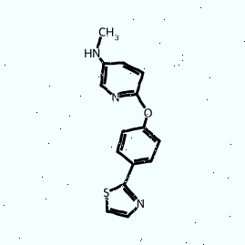 CNc1ccc(Oc2ccc(-c3nccs3)cc2)nc1